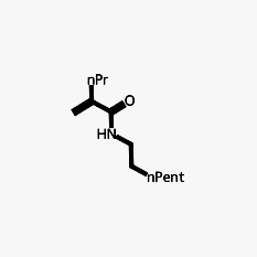 C=C(CCC)C(=O)NCCCCCCC